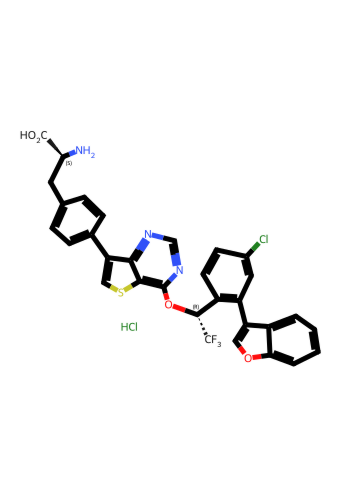 Cl.N[C@@H](Cc1ccc(-c2csc3c(O[C@H](c4ccc(Cl)cc4-c4coc5ccccc45)C(F)(F)F)ncnc23)cc1)C(=O)O